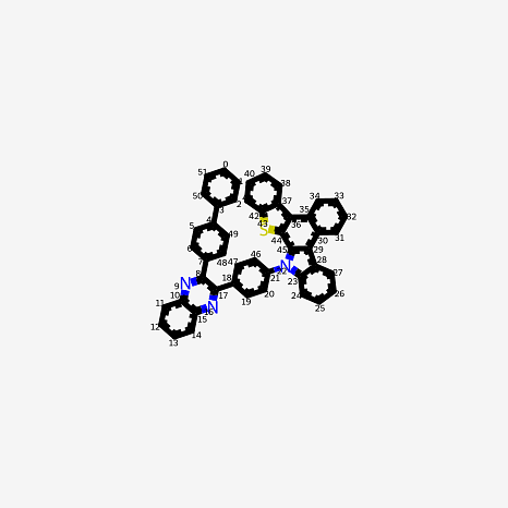 c1ccc(-c2ccc(-c3nc4ccccc4nc3-c3ccc(-n4c5ccccc5c5c6ccccc6c6c7ccccc7sc6c54)cc3)cc2)cc1